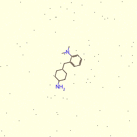 CN(C)c1ccccc1CC1CCC(N)CC1